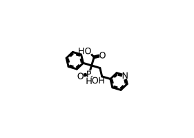 O=C(O)C(CCc1cccnc1)(c1ccccc1)[PH](=O)O